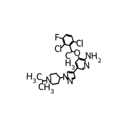 CC(Oc1cc(-c2cnn(C3CCN(C(C)C)CC3)c2)cnc1N)c1c(Cl)ccc(F)c1Cl